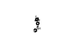 Cc1cc(F)cc(F)c1[C@H]1CC[C@@H](CCNC2CCOCC2)CC1